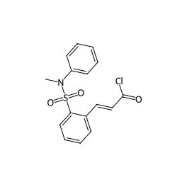 CN(c1ccccc1)S(=O)(=O)c1ccccc1C=CC(=O)Cl